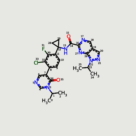 CC(C)n1cncc(-c2ccc(C3(NC(=O)c4ncc5cnn(C(C)C)c5n4)CC3)c(F)c2Cl)c1=O